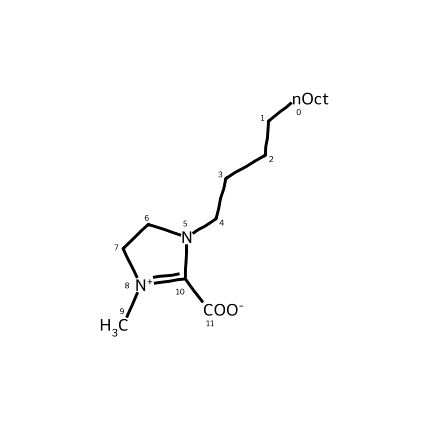 CCCCCCCCCCCCN1CC[N+](C)=C1C(=O)[O-]